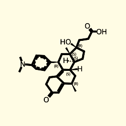 C[C@@H]1C[C@@H]2C(=C3CCC(=O)C=C31)[C@@H](c1ccc(N(C)C)cc1)C[C@@]1(C)[C@H]2CC[C@@]1(O)CCC(=O)O